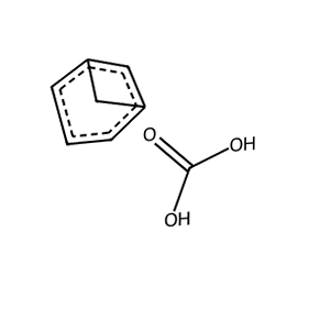 O=C(O)O.c1cc2cc(c1)C2